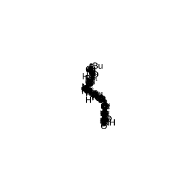 C[C@@H]1CN(CC2CCN(c3ccc(N4CCC(=O)NC4=O)cc3)CC2)CCN1c1ccc(-c2cc3c(-c4ccc([C@@H](C)NC(=O)c5noc(C(C)(C)C)n5)c(F)c4)ncnc3[nH]2)cn1